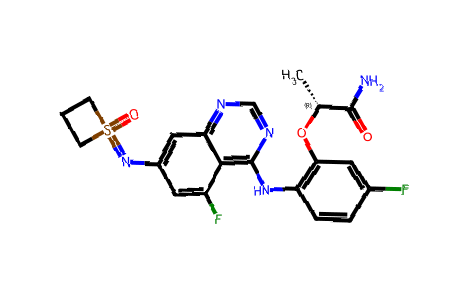 C[C@@H](Oc1cc(F)ccc1Nc1ncnc2cc(N=S3(=O)CCC3)cc(F)c12)C(N)=O